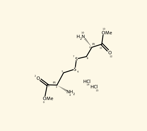 COC(=O)[C@@H](N)CSSC[C@H](N)C(=O)OC.Cl.Cl